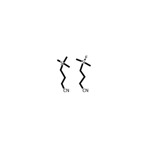 C[Si](C)(C)CCCC#N.C[Si](C)(F)CCCC#N